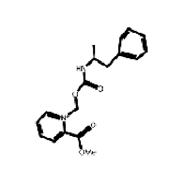 COC(=O)c1cccc[n+]1COC(=O)N[C@@H](C)Cc1ccccc1